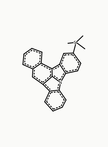 C[Si](C)(C)c1ccc2c(c1)c1c3ccccc3cc3c4ccccc4n2c31